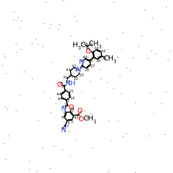 COC(=O)c1cc(C#N)cc2nc(-c3ccc(C(=O)NCC4CCN(c5ccc(-c6cc(C)ccc6OC(C)C)cn5)CC4)cc3)oc12